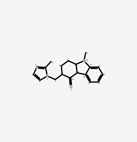 Cc1nccn1CC1CCC2C(C1=O)c1ccccc1N2C